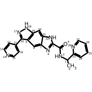 CC(NC(=O)c1nc2cc3c(-c4ccncc4)n[nH]c3cc2[nH]1)c1ccccn1